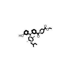 CCOC(=O)C1CCN(C(=O)c2cccc([C@H](c3cccc(O)c3)N3C[C@@H](C)N(CC(C)CC)C[C@@H]3C)c2)CC1